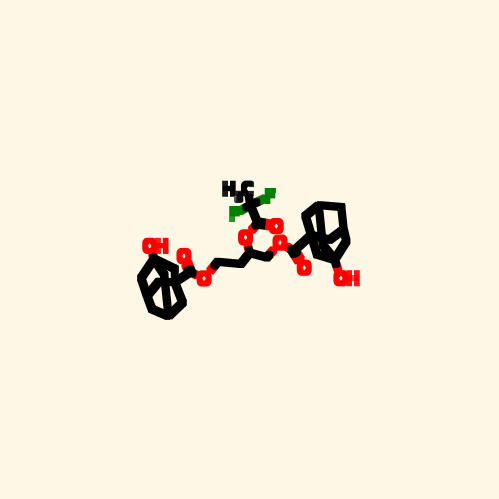 CC(F)(F)C(=O)OC(CCOC(=O)C12CC3CC(CC(O)(C3)C1)C2)COC(=O)C12CC3CC(CC(O)(C3)C1)C2